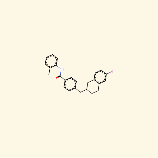 Cc1ccccc1NC(=O)c1ccc(CC2CCc3cc(I)ccc3C2)cc1